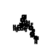 CC(C)(C)n1cc(NC(=O)Nc2ccc(Oc3ccnc(-c4cn[nH]c4)c3)cc2F)c(-c2ccc3oncc3c2)n1